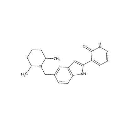 CC1CCCC(C)N1Cc1ccc2[nH]c(-c3c[c]c[nH]c3=O)cc2c1